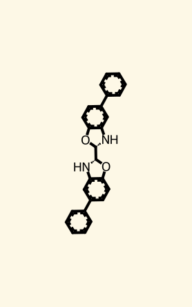 c1ccc(-c2ccc3c(c2)N[C@H]([C@H]2Nc4cc(-c5ccccc5)ccc4O2)O3)cc1